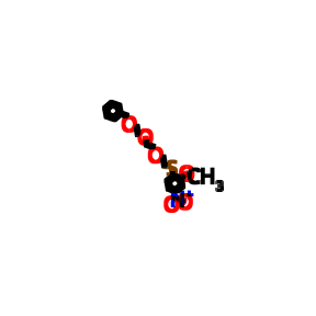 COc1cc([N+](=O)[O-])ccc1SCCOCCOCCOCc1ccccc1